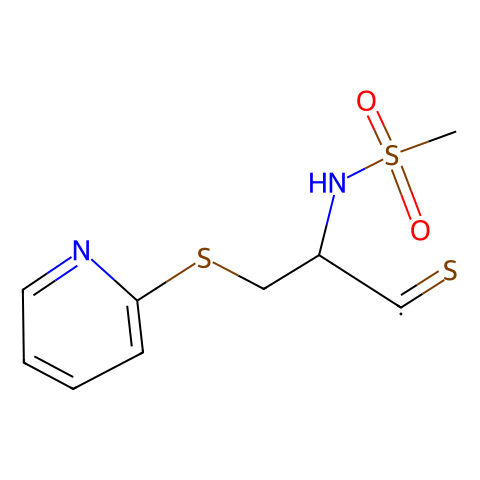 CS(=O)(=O)NC([C]=S)CSc1ccccn1